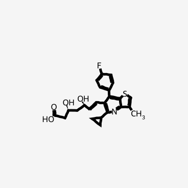 Cc1csc2c(-c3ccc(F)cc3)c(/C=C/[C@@H](O)C[C@@H](O)CC(=O)O)c(C3CC3)nc12